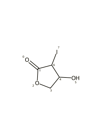 O=C1OCC(O)C1I